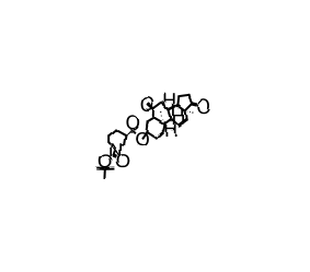 CC(C)(C)OC(=O)N1CCC[C@@H](C(=O)OC2CC[C@@]3(C)C(C2)C(=O)C[C@@H]2[C@H]3CC[C@]3(C)C(=O)CC[C@@H]23)C1